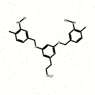 CCNc1cc(COc2cc(CCC(=O)O)cc(OCc3ccc(C)c(NCC)c3)c2)ccc1C